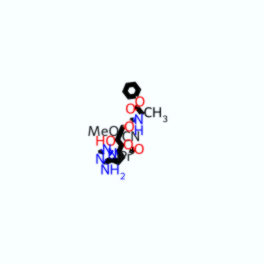 CO[C@](C#N)(COCN[C@@H](C)C(=O)OC1CCCCC1)[C@@H](O)[C@@H](OC(=O)C(C)C)c1ccc2c(N)ncnn12